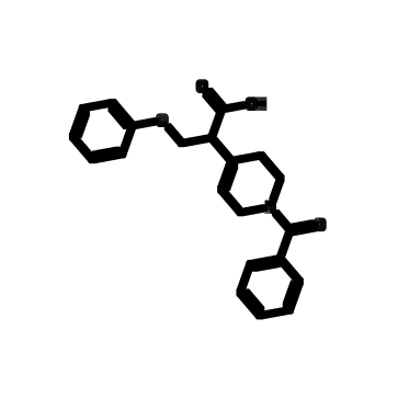 O=C(O)C(COc1ccccc1)C1=CCN(C(=O)c2ccccc2)CC1